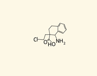 NC1c2ccccc2CCC1(CCCl)C(=O)O